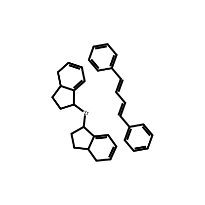 C(C=Cc1ccccc1)=Cc1ccccc1.C1=CCC2CC[CH]([Zr][CH]3CCC4CC=CC=C43)C2=C1